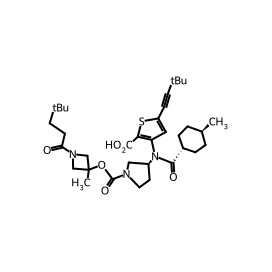 CC(C)(C)C#Cc1cc(N(C(=O)[C@H]2CC[C@H](C)CC2)[C@H]2CCN(C(=O)OC3(C)CN(C(=O)CCC(C)(C)C)C3)C2)c(C(=O)O)s1